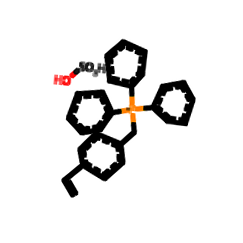 C=Cc1ccc(C[P](c2ccccc2)(c2ccccc2)c2ccccc2)cc1.O=S(=O)(O)O